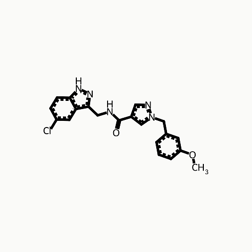 COc1cccc(Cn2cc(C(=O)NCc3n[nH]c4ccc(Cl)cc34)cn2)c1